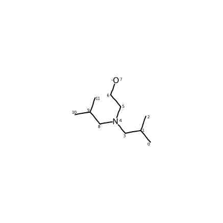 CC(C)CN(CC[O])CC(C)C